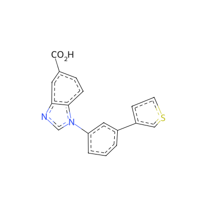 O=C(O)c1ccc2c(c1)ncn2-c1cccc(-c2ccsc2)c1